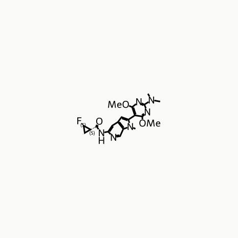 COc1nc(N(C)C)nc(OC)c1-c1cc2cc(NC(=O)[C@@H]3C[C@@H]3F)ncc2n1C